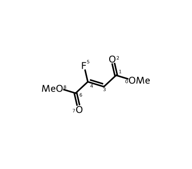 COC(=O)/C=C(\F)C(=O)OC